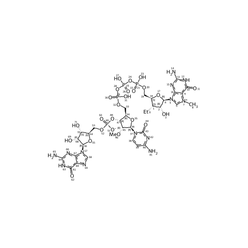 CC[C@H]1[C@@H](O)[C@H](n2c[n+](C)c3c(=O)[nH]c(N)nc32)O[C@@H]1COP(=O)(O)OP(=O)(O)OP(=O)(O)OC[C@H]1O[C@@H](n2ccc(N)nc2=O)[C@H](OC)[C@@H]1OP(=O)([O-])OC[C@H]1O[C@@H](n2cnc3c(=O)[nH]c(N)nc32)[C@H](O)[C@@H]1O